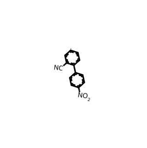 N#Cc1c[c]ccc1-c1ccc([N+](=O)[O-])cc1